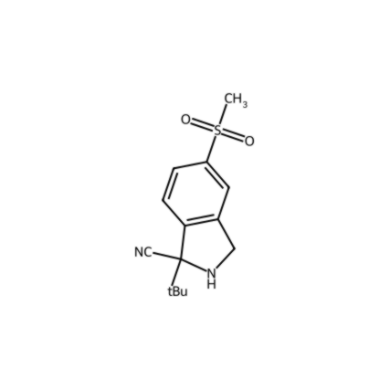 CC(C)(C)C1(C#N)NCc2cc(S(C)(=O)=O)ccc21